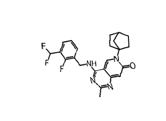 Cc1nc(NCc2cccc(C(F)F)c2F)c2cn(C34CCC(CC3)C4)c(=O)cc2n1